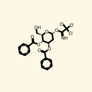 N=C(O[C@@H]1C[C@@H](OC(=O)c2ccccc2)[C@H](OC(=O)c2ccccc2)[C@@H](CO)O1)C(Cl)(Cl)Cl